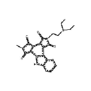 CCN(CC)CCn1c(=O)c2c3c(=O)n(C)c(=O)c3c3[nH]c4ccccc4c3c2c1=O